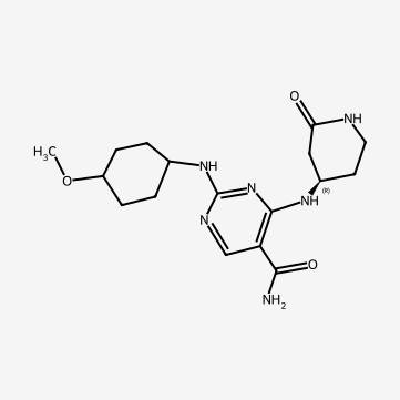 COC1CCC(Nc2ncc(C(N)=O)c(N[C@@H]3CCNC(=O)C3)n2)CC1